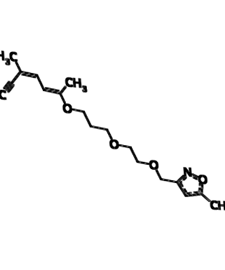 C#C/C(C)=C\C=C(/C)OCCCOCCOCc1cc(C)on1